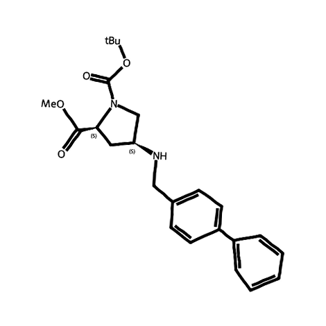 COC(=O)[C@@H]1C[C@H](NCc2ccc(-c3ccccc3)cc2)CN1C(=O)OC(C)(C)C